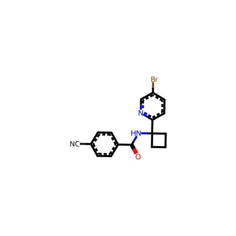 N#Cc1ccc(C(=O)NC2(c3ccc(Br)cn3)CCC2)cc1